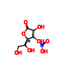 O=C1O[C@H](C(O)CO)C(O)=C1O.O=NO